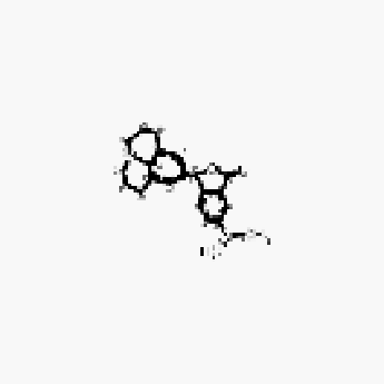 CN(C)c1ccc2c(c1)C(=O)OC2c1cc2c3c(c1)CCCN3CCC2